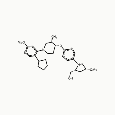 COc1cc(N2CC[C@@H](Oc3ccc(N4C[C@H](OC)C[C@@H]4CO)cn3)[C@H](C)C2)c(C2CCCC2)cn1